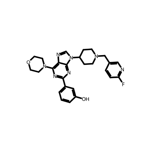 Oc1cccc(-c2nc(N3CCOCC3)c3ncn(C4CCN(Cc5ccc(F)nc5)CC4)c3n2)c1